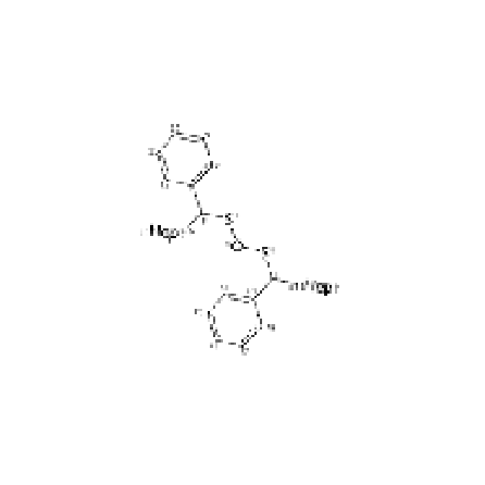 CCCCCCCC(SOSC(CCCCCCC)c1ccccc1)c1ccccc1